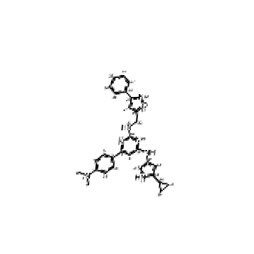 CN(C)c1ccc(-c2cc(Nc3cc(C4CC4)[nH]n3)nc(NCc3cc(-c4ccccc4)no3)n2)cc1